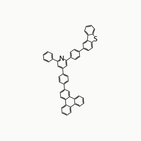 c1ccc(-c2cc(-c3ccc(-c4ccc5c6ccccc6c6ccccc6c5c4)cc3)cc(-c3ccc(-c4ccc5sc6ccccc6c5c4)cc3)n2)cc1